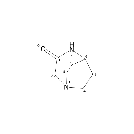 O=C1[CH]N2CCC(CC2)N1